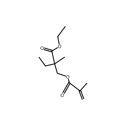 C=C(C)C(=O)OCC(C)(CC)C(=O)OCC